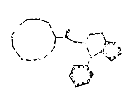 O=C(CN1CCc2sccc2C1c1ccccc1)C1CCCCCCCCCC1